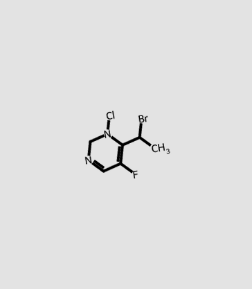 CC(Br)C1=C(F)C=NCN1Cl